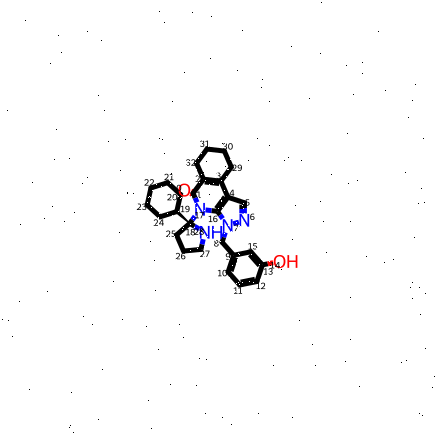 O=c1c2c(c3cnn(Cc4cccc(O)c4)c3n1[C@@]1(C3CCCCC3)CCCN1)CCCC2